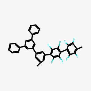 Cc1cc(-c2cc(-c3ccccc3)cc(-c3ccccc3)c2)cc(-c2c(F)c(F)c(-c3c(F)c(F)c(C)c(F)c3F)c(F)c2F)c1